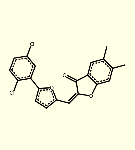 Cc1cc2c(cc1C)C(=O)C(=Cc1ccc(-c3cc(Cl)ccc3Cl)o1)O2